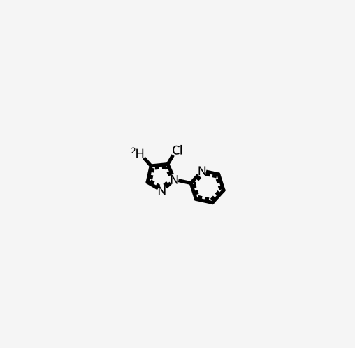 [2H]c1cnn(-c2ccccn2)c1Cl